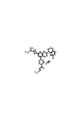 C/C=C/C(=O)N1CCN(c2nc(N3CC(N(C)C)C3)nc3c2CC[C@@H](N2CCCc4ccc(F)cc42)C3)C[C@@H]1CC#N